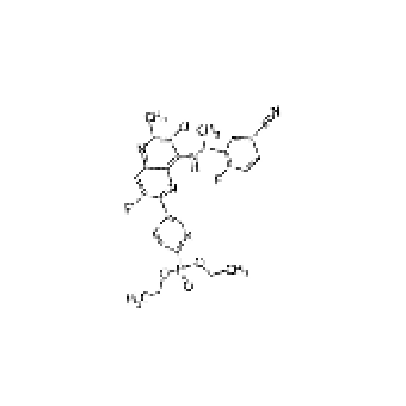 CCOP(=O)(OCC)c1ccc(-c2nc3c(NC(C)c4cc(C#N)ccc4F)c(Cl)c(C)nc3cc2F)cn1